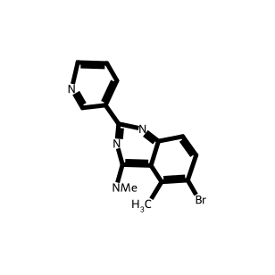 CNc1nc(-c2cccnc2)nc2ccc(Br)c(C)c12